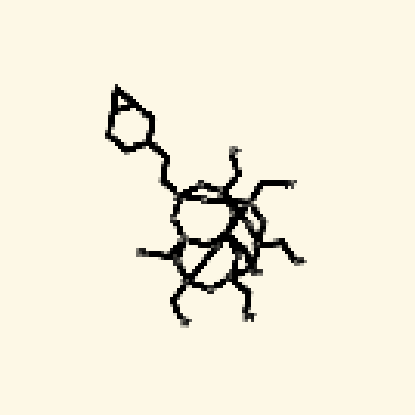 CC(C)C[Si]12C[Si]3(CC(C)C)O[Si]4(CC(C)C)O[Si](CCC5CCC6CC6C5)(O1)O[Si]1(CC(C)C)O[Si](CC(C)C)(O2)O[Si](CC(C)C)(O3)O[Si](CC(C)C)(O4)O1